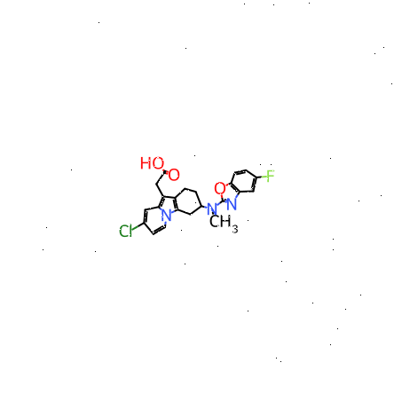 CN(c1nc2cc(F)ccc2o1)C1CCc2c(CC(=O)O)c3cc(Cl)ccn3c2C1